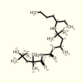 CCCCC(CC)NC(C)(C)CC(C)OC(=O)NC(=O)C(C)(C)CC(C)(C)O